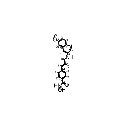 COc1ccc2ncc(NC/C(C)=C/c3ccc(C(=O)NO)cc3)cc2c1